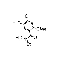 CCN(C)C(=O)c1cc(C)c(Cl)cc1OC